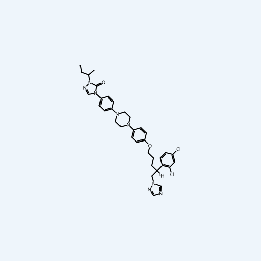 [3H]C(CCCOc1ccc(N2CCN(c3ccc(-n4cnn(C(C)CC)c4=O)cc3)CC2)cc1)(Cn1cncn1)c1ccc(Cl)cc1Cl